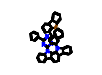 c1ccc(-c2nc(-c3ccccc3)nc(-n3c4ccccc4c4ccc5c6ccccc6n(-c6ccc(-c7cccc8c7sc7ccccc78)cc6)c5c43)n2)cc1